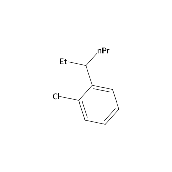 [CH2]CCC(CC)c1ccccc1Cl